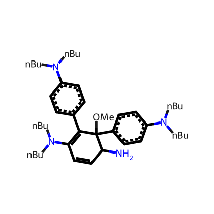 CCCCN(CCCC)C1=C(c2ccc(N(CCCC)CCCC)cc2)C(OC)(c2ccc(N(CCCC)CCCC)cc2)C(N)C=C1